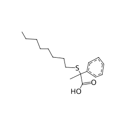 CCCCCCCCSC(C)(C(=O)O)c1ccccc1